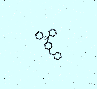 c1ccc(Sc2ccc([Se](c3ccccc3)c3ccccc3)cc2)cc1